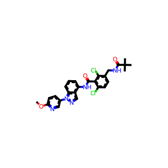 COc1ccc(-n2ncc3c(NC(=O)c4c(Cl)ccc(CNC(=O)C(C)(C)C)c4Cl)cccc32)cn1